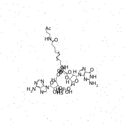 CC(=O)CCNC(=O)CCCSSCCNC(=O)C12O[C@@H]3[C@H](O1)[C@@H](CO[PH](O)(S)O[C@H]1[C@@H](O)[C@H](n4cnc5c(N)ncnc54)O[C@@H]1COP2(=O)S)O[C@H]3n1cnc2c(=O)[nH]c(N)nc21